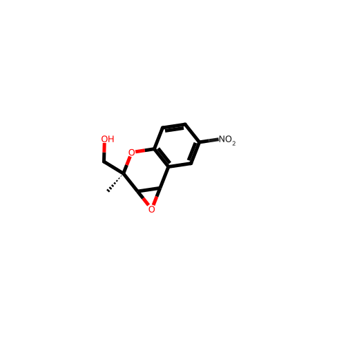 C[C@]1(CO)Oc2ccc([N+](=O)[O-])cc2C2OC21